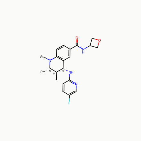 CC[C@H]1[C@H](C)[C@@H](Nc2ccc(F)cn2)c2cc(C(=O)NC3COC3)ccc2N1C(C)=O